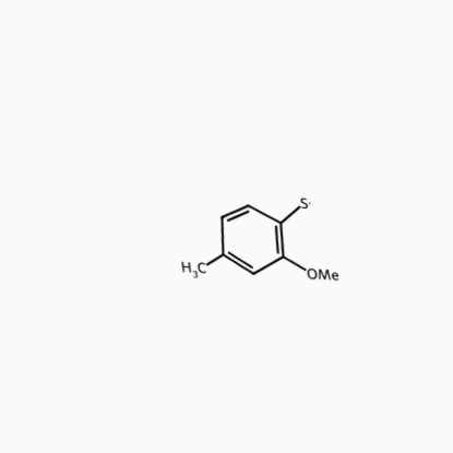 COc1cc(C)ccc1[S]